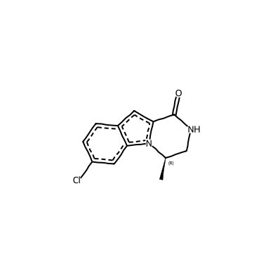 C[C@@H]1CNC(=O)c2cc3ccc(Cl)cc3n21